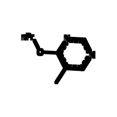 CCCOc1ncncc1C